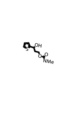 CNC(=O)OCCC(O)c1cccs1